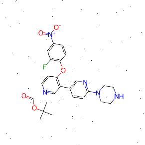 CC(C)(C)OC=O.O=[N+]([O-])c1ccc(Oc2ccncc2-c2ccc(N3CCNCC3)nc2)c(F)c1